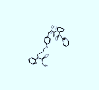 CC(C)CC(=O)N(CCCOc1ccc(C[C@H](Nc2ccccc2C(=O)c2ccccc2)C(=O)O)cc1)c1ccccc1